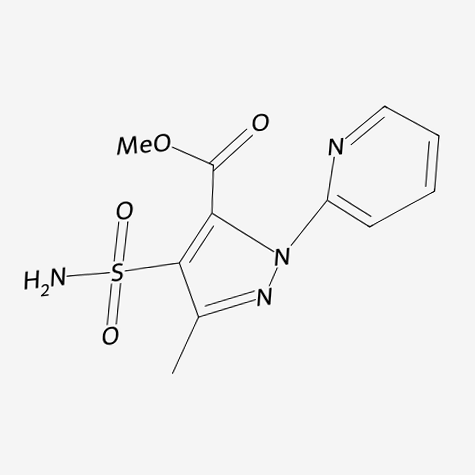 COC(=O)c1c(S(N)(=O)=O)c(C)nn1-c1ccccn1